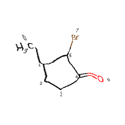 CC1CCC(=O)C1Br